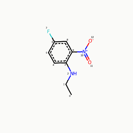 CCNc1ccc(F)cc1[N+](=O)[O-]